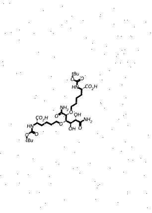 CC(C)(C)OC(=O)N[C@@H](CCCCO[C@@H]([C@H](O)[C@H](O)C(N)=O)[C@@H](OCCCC[C@H](NC(=O)OC(C)(C)C)C(=O)O)C(N)=O)C(=O)O